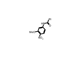 COc1cc(NC(=O)C(C)C)ccc1[N+](=O)[O-]